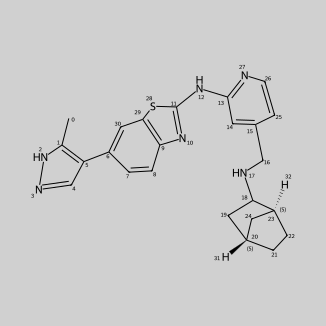 Cc1[nH]ncc1-c1ccc2nc(Nc3cc(CNC4C[C@H]5CC[C@H]4C5)ccn3)sc2c1